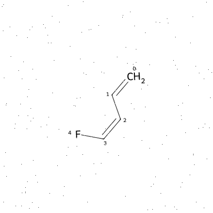 C=C/C=C\F